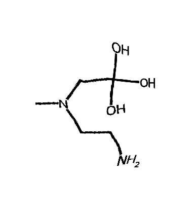 CN(CCN)CC(O)(O)O